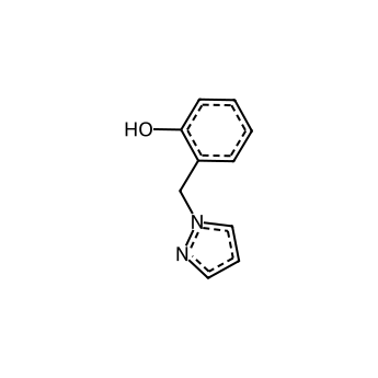 Oc1ccccc1Cn1cccn1